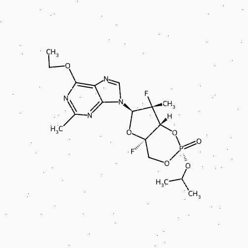 CCOc1nc(C)nc2c1ncn2[C@@H]1O[C@]2(F)CO[P@@](=O)(OC(C)C)O[C@H]2[C@@]1(C)F